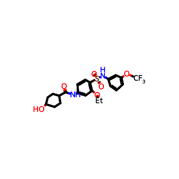 CCOc1cc(NC(=O)C2CCC(O)CC2)ccc1S(=O)(=O)Nc1cccc(OC(F)(F)F)c1